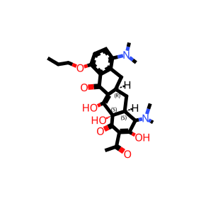 CCCOc1ccc(N(C)C)c2c1C(=O)C1=C(O)[C@]3(O)C(=O)C(C(C)=O)=C(O)C(N(C)C)[C@@H]3C[C@@H]1C2